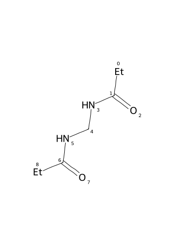 CCC(=O)NCNC(=O)CC